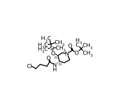 CC(C)(C)OC(=O)N1CC[C@H](NC(=O)CCCCl)[C@@H](O[Si](C)(C)C(C)(C)C)C1